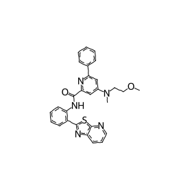 COCCN(C)c1cc(C(=O)Nc2ccccc2-c2nc3cccnc3s2)nc(-c2ccccc2)c1